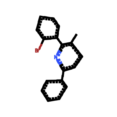 Cc1ccc(-c2ccccc2)nc1-c1ccccc1Br